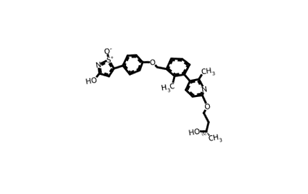 Cc1nc(OCC[C@H](C)O)ccc1-c1cccc(COc2ccc(-c3cc(O)n[s+]3[O-])cc2)c1C